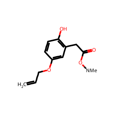 C=CCOc1ccc(O)c(CC(=O)ONC)c1